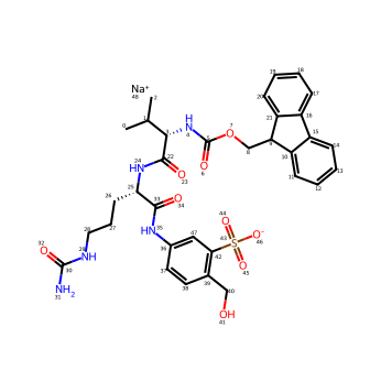 CC(C)[C@H](NC(=O)OCC1c2ccccc2-c2ccccc21)C(=O)N[C@@H](CCCNC(N)=O)C(=O)Nc1ccc(CO)c(S(=O)(=O)[O-])c1.[Na+]